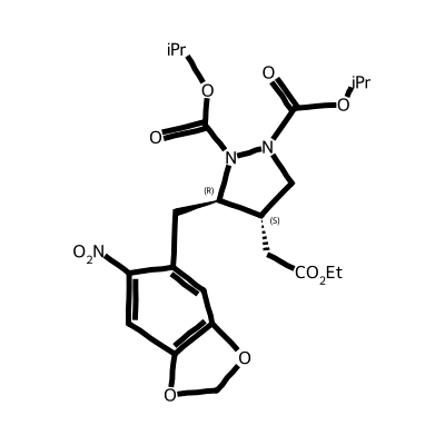 CCOC(=O)C[C@H]1CN(C(=O)OC(C)C)N(C(=O)OC(C)C)[C@@H]1Cc1cc2c(cc1[N+](=O)[O-])OCO2